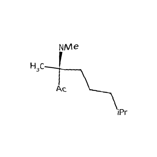 CN[C@@](C)(CCCC(C)C)C(C)=O